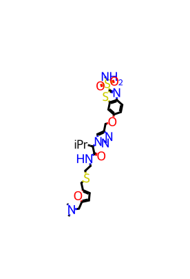 CC(C)C(C(=O)NCCSCc1ccc(CN(C)C)o1)n1cc(COc2ccc3nc(S(N)(=O)=O)sc3c2)nn1